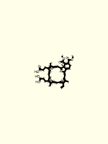 C=Cc1c(C)c2cc3nc(cc4[nH]c(cc5nc(cc1[nH]2)C(C)=C5CCC(O)O)c(CCC(=O)O)c4C)[C@@]1(C)C3=CCC(C(=O)OC)=C1C(=O)OC